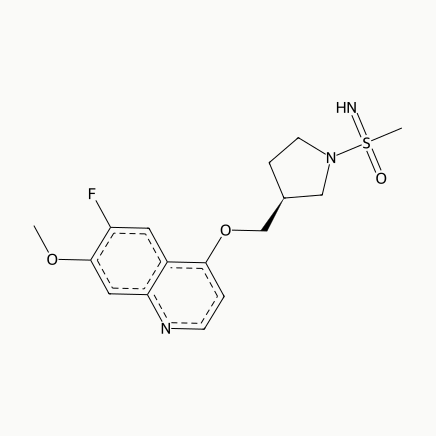 COc1cc2nccc(OC[C@H]3CCN(S(C)(=N)=O)C3)c2cc1F